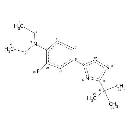 CCN(CC)c1ccc(-c2csc(C(C)(C)C)n2)cc1F